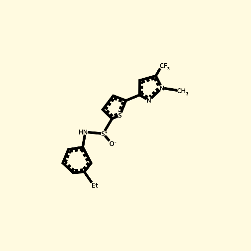 CCc1cccc(N[S+]([O-])c2ccc(-c3cc(C(F)(F)F)n(C)n3)s2)c1